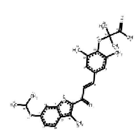 Cc1cc(C=CC(=O)c2oc3cc(SC(C)C)ccc3c2C)cc(C)c1OC(C)(C)C(=O)O